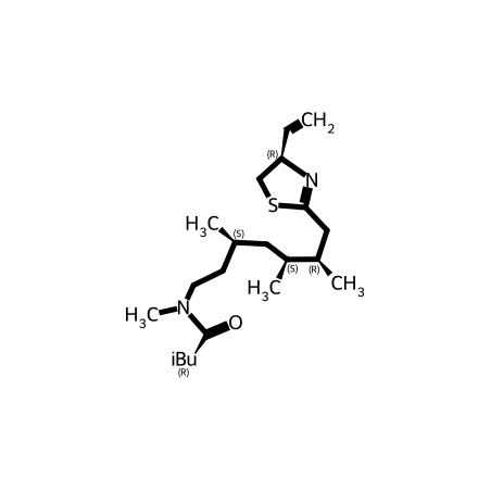 C=C[C@@H]1CSC(C[C@@H](C)[C@@H](C)C[C@H](C)CCN(C)C(=O)[C@H](C)CC)=N1